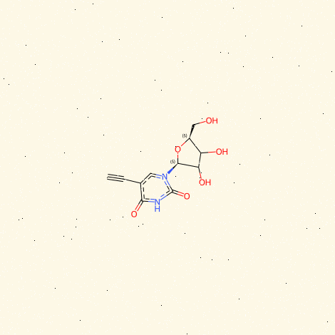 C#Cc1cn([C@H]2O[C@@H](CO)C(O)C2O)c(=O)[nH]c1=O